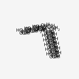 NCCN.NCCNCCN.O=P(O)(O)CP(=O)(O)O.O=P(O)(O)CP(=O)(O)O.O=P(O)(O)CP(=O)(O)O.O=P(O)(O)CP(=O)(O)O.O=P(O)(O)CP(=O)(O)O.O=P(O)(O)CP(=O)(O)O.O=P(O)(O)CP(=O)(O)O.O=P(O)(O)CP(=O)(O)O.O=P(O)(O)CP(=O)(O)O